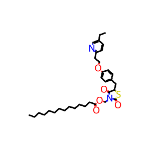 CCCCCCCCCCCCCC(=O)OCN1C(=O)SC(Cc2ccc(OCCc3ccc(CC)cn3)cc2)C1=O